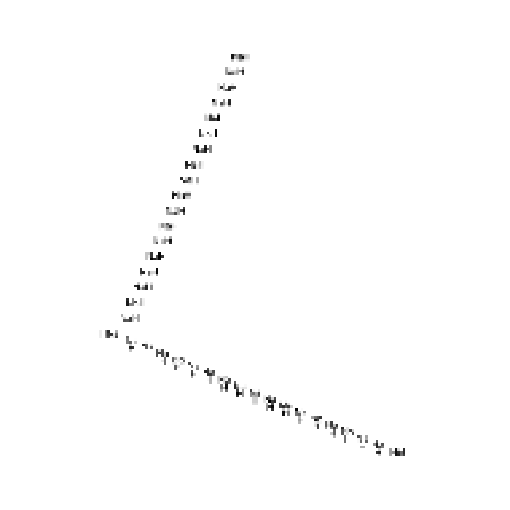 [NaH].[NaH].[NaH].[NaH].[NaH].[NaH].[NaH].[NaH].[NaH].[NaH].[NaH].[NaH].[NaH].[NaH].[NaH].[NaH].[NaH].[NaH].[NaH].[NaH].[NaH].[NaH].[NaH].[NaH].[NaH].[NaH].[NaH].[NaH].[NaH].[NaH].[NaH].[NaH].[NaH].[NaH].[NaH].[NaH].[NaH]